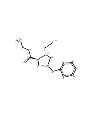 CCOC(=O)[C@@H]1CN(Cc2ccccc2)C[C@H]1CF